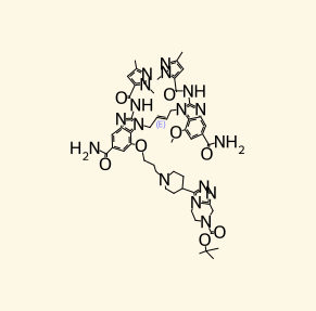 COc1cc(C(N)=O)cc2nc(NC(=O)c3cc(C)nn3C)n(C/C=C/Cn3c(NC(=O)c4cc(C)nn4C)nc4cc(C(N)=O)cc(OCCCN5CCC(c6nnc7n6CCN(C(=O)OC(C)(C)C)C7)CC5)c43)c12